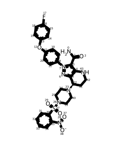 NC(=O)c1c2c(nn1-c1ccc(Oc3ccc(F)cc3)cc1)[C@H](N1CCN(S(=O)(=O)c3ccccc3[N+](=O)[O-])CC1)CCN2